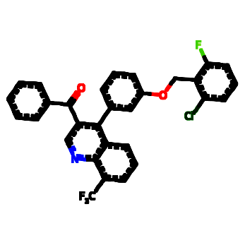 O=C(c1ccccc1)c1cnc2c(C(F)(F)F)cccc2c1-c1cccc(OCc2c(F)cccc2Cl)c1